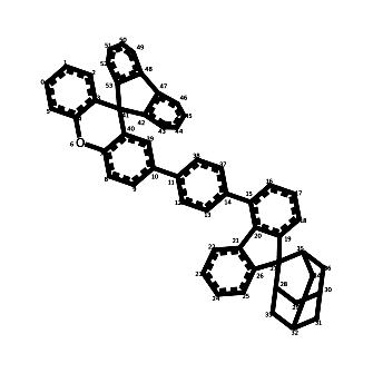 c1ccc2c(c1)Oc1ccc(-c3ccc(-c4cccc5c4-c4ccccc4C54C5CC6CC(C5)CC4C6)cc3)cc1C21c2ccccc2-c2ccccc21